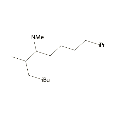 CCC(C)CC(C)C(CCCCC(C)C)NC